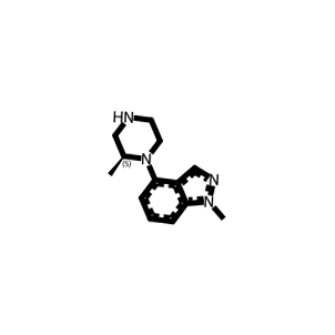 C[C@H]1CNCCN1c1cccc2c1cnn2C